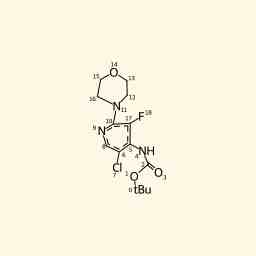 CC(C)(C)OC(=O)Nc1c(Cl)cnc(N2CCOCC2)c1F